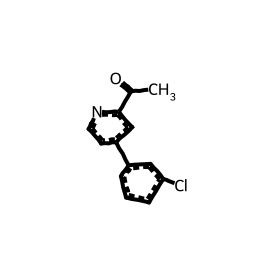 CC(=O)c1cc(-c2cccc(Cl)c2)ccn1